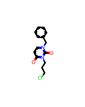 O=c1ccn(Cc2ccccc2)c(=O)n1CCCCl